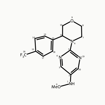 CONc1cnc(N2CCOCC2c2ccc(C(F)(F)F)cc2)nc1